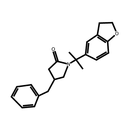 CC(C)(c1ccc2c(c1)CCO2)N1CC(Cc2ccccc2)CC1=O